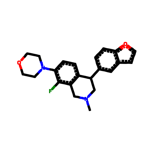 CN1Cc2c(ccc(N3CCOCC3)c2F)C(c2ccc3occc3c2)C1